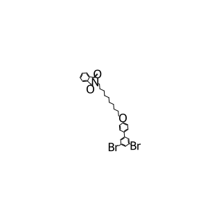 O=C1c2ccccc2C(=O)N1CCCCCCCCCCOc1ccc(-c2cc(Br)cc(Br)c2)cc1